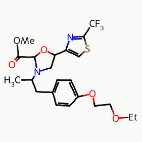 CCOCCOc1ccc(CC(C)N2CC(c3csc(C(F)(F)F)n3)OC2C(=O)OC)cc1